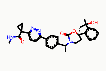 CNC(=O)C1(c2ccc(-c3ccc([C@H](C)N4CC[C@](CC(C)(C)O)(c5ccccc5)OC4=O)cc3)nn2)CC1